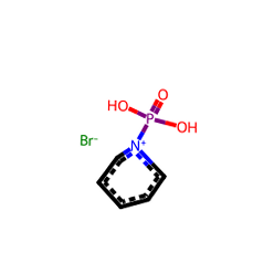 O=P(O)(O)[n+]1ccccc1.[Br-]